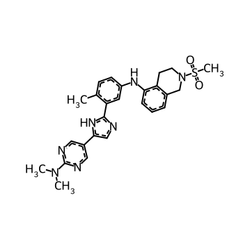 Cc1ccc(Nc2cccc3c2CCN(S(C)(=O)=O)C3)cc1-c1ncc(-c2cnc(N(C)C)nc2)[nH]1